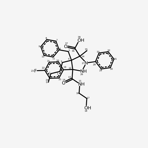 CCCCC1(Cc2ccccc2)C(C(=O)NCCO)(c2ccc(F)cc2)NN(c2ccccc2)C1(C)C(=O)O